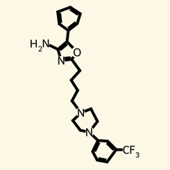 Nc1nc(CCCCN2CCN(c3cccc(C(F)(F)F)c3)CC2)oc1-c1ccccc1